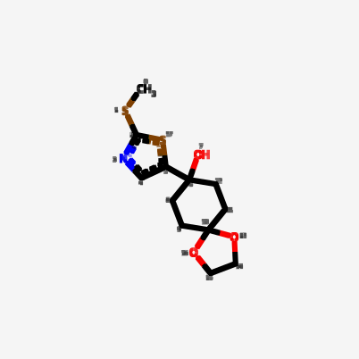 CSc1ncc(C2(O)CCC3(CC2)OCCO3)s1